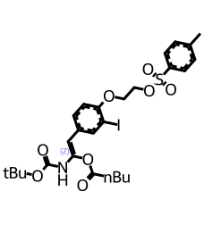 CCCCC(=O)O/C(=C\c1ccc(OCCOS(=O)(=O)c2ccc(C)cc2)c(I)c1)NC(=O)OC(C)(C)C